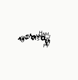 CC(c1ccnc(NC(=S)Nc2ccc(-c3cc(C(F)F)ncn3)cc2N)c1)N1CCN(C(=O)OC(C)(C)C)CC1